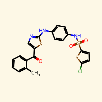 Cc1ccccc1C(=O)c1cnc(Nc2ccc(NS(=O)(=O)c3ccc(Cl)s3)cc2)s1